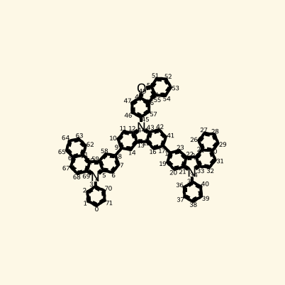 c1ccc(-n2c3ccc(-c4ccc5c(c4)c4cc(-c6ccc7c(c6)c6c8ccccc8ccc6n7-c6ccccc6)ccc4n5-c4ccc5oc6ccccc6c5c4)cc3c3c4ccccc4ccc32)cc1